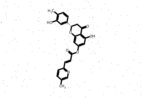 Cc1ccc(/C=C/C(=O)Oc2cc(O)c3c(c2)O[C@H](c2ccc(C)c(O)c2)CC3=O)nc1